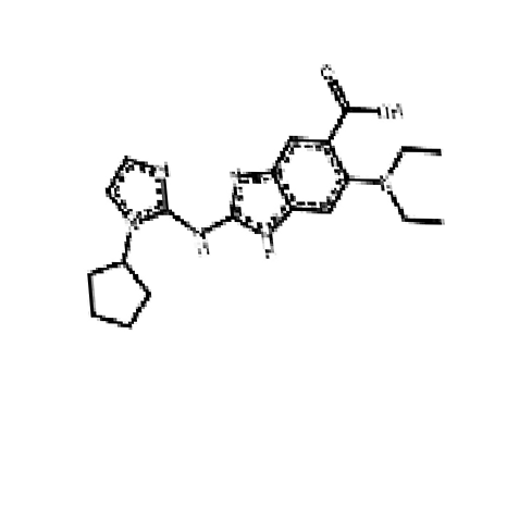 CCN(CC)c1cc2[nH]c(Nc3nccn3C3CCCC3)nc2cc1C(=O)O